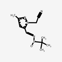 Cc1cc(/C=N/[S+]([O-])C(C)(C)C)n(CC#N)n1